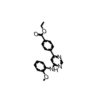 CCOC(=O)c1ccc(-c2cc(Nc3ccccc3OC)ncn2)cc1